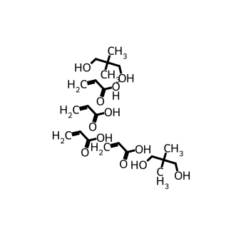 C=CC(=O)O.C=CC(=O)O.C=CC(=O)O.C=CC(=O)O.CC(C)(CO)CO.CC(C)(CO)CO